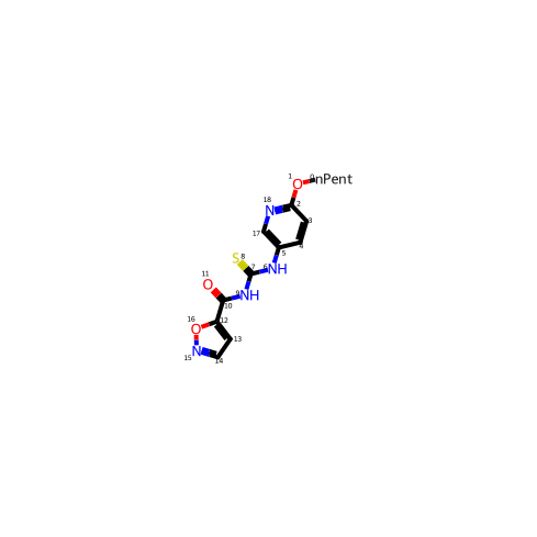 CCCCCOc1ccc(NC(=S)NC(=O)c2ccno2)cn1